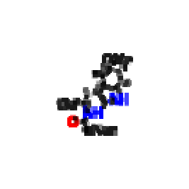 CCCCCCCCCC(=O)NC(Cc1c[nH]c2ccc(OC)cc12)C(C)(C)C